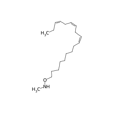 CC/C=C\C/C=C\C/C=C\CCCCCCCCONC